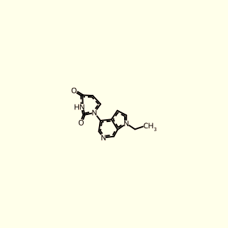 CCn1ccc2c(-n3ccc(=O)[nH]c3=O)cncc21